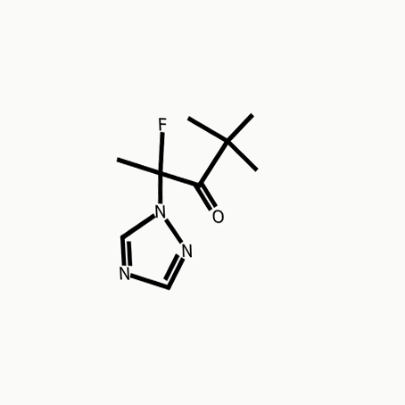 CC(C)(C)C(=O)C(C)(F)n1cncn1